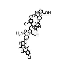 Cc1nn(C(C)c2ccc(Cl)cc2Cl)c2nc(N3CCC(N4CC(CC(c5ccc(Cl)cc5Cl)n5nc(C)c6ncc(N7CCC(N8CCCC8CO)C(C(N)=O)C7)nc65)CC4CO)C(C(N)=O)C3)cnc12